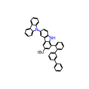 CC(C)(C)c1cc(-c2ccccc2-c2cccc(-c3ccccc3)c2)c2[nH]c3ccc(-n4c5ccccc5c5ccccc54)cc3c2c1